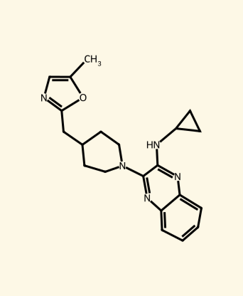 Cc1cnc(CC2CCN(c3nc4ccccc4nc3NC3CC3)CC2)o1